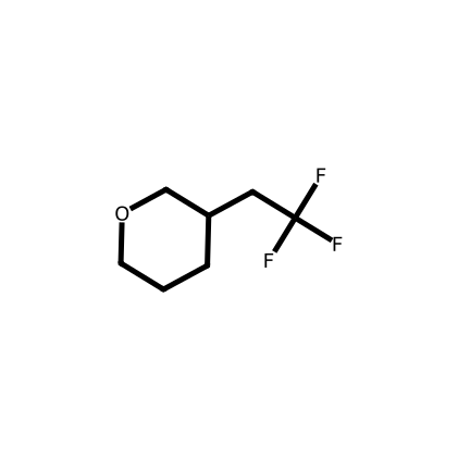 FC(F)(F)CC1CCCOC1